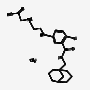 O=C(O)CNCCNc1ccc(Cl)c(C(=O)NCC23CCCC(CCC2)C3)c1.[CH2]